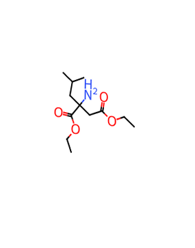 CCOC(=O)CC(N)(CC(C)C)C(=O)OCC